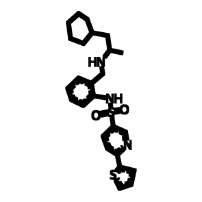 CC(CC1CCCCC1)NCc1ccccc1NS(=O)(=O)c1ccc(-c2cccs2)nc1